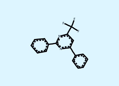 FC(F)(F)c1cc(-c2ccccc2)nc(-c2ccccc2)n1